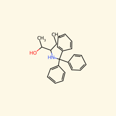 CCC(NC(c1ccccc1)(c1ccccc1)c1ccccc1)C(C)O